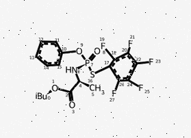 CC[C@H](C)OC(=O)[C@H](C)N[P@](=O)(Oc1ccccc1)Sc1c(F)c(F)c(F)c(F)c1F